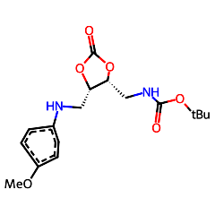 COc1ccc(NC[C@@H]2OC(=O)O[C@@H]2CNC(=O)OC(C)(C)C)cc1